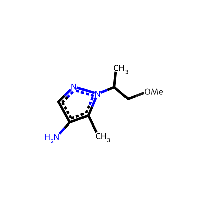 COCC(C)n1ncc(N)c1C